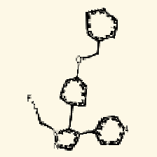 FCCn1ncc(-c2ccncc2)c1-c1ccc(OCc2ccccc2)cc1